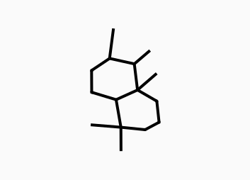 CC1CCC2C(C)(C)CCCC2(C)C1C